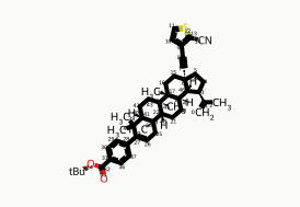 C=C(C)[C@@H]1CC[C@]2(C#Cc3ccsc3C#N)CC[C@]3(C)[C@H](CC[C@@H]4[C@@]5(C)CC=C(c6ccc(C(=O)OC(C)(C)C)cc6)C(C)(C)[C@@H]5CC[C@]43C)[C@@H]12